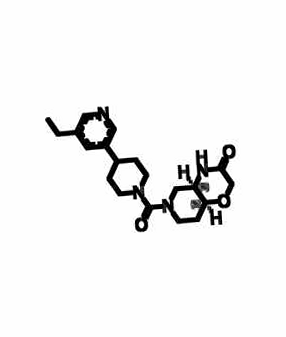 CCc1cncc(C2CCN(C(=O)N3CC[C@@H]4OCC(=O)N[C@@H]4C3)CC2)c1